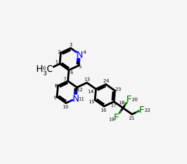 Cc1ccncc1-c1cccnc1Cc1ccc(C(F)(F)CF)cc1